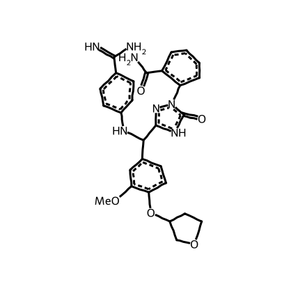 COc1cc(C(Nc2ccc(C(=N)N)cc2)c2nn(-c3ccccc3C(N)=O)c(=O)[nH]2)ccc1OC1CCOC1